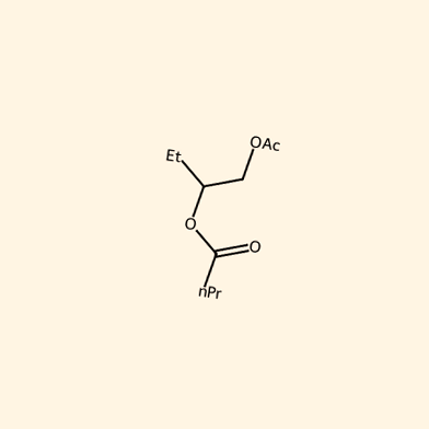 CCCC(=O)OC(CC)COC(C)=O